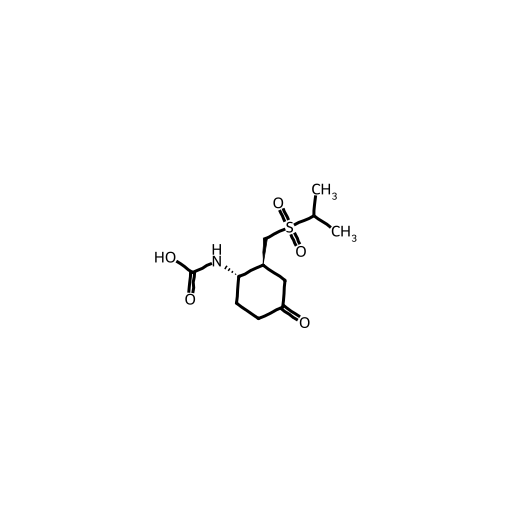 CC(C)S(=O)(=O)C[C@H]1CC(=O)CC[C@@H]1NC(=O)O